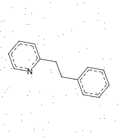 [c]1cccc(CCc2ccccc2)n1